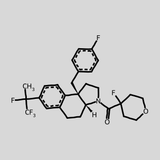 CC(F)(c1ccc2c(c1)CC[C@H]1N(C(=O)C3(F)CCOCC3)CC[C@@]21Cc1ccc(F)cc1)C(F)(F)F